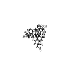 CCCCCC(CC(=O)Nc1cc(CNC(=O)OC(C)(C)C)ccc1C(C)(C)C)c1cc(OC)c(OC)cc1OC